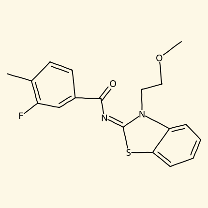 COCCn1c(=NC(=O)c2ccc(C)c(F)c2)sc2ccccc21